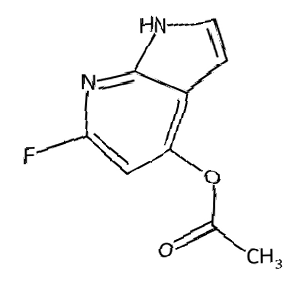 CC(=O)Oc1cc(F)nc2[nH]ccc12